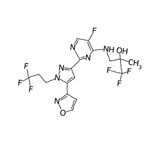 CC(O)(CNc1nc(-c2cc(-c3ccon3)n(CCC(F)(F)F)n2)ncc1F)C(F)(F)F